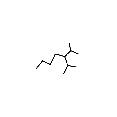 [CH2]C(C)C(CCCC)C(C)C